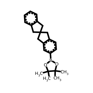 CC1(C)OB(c2ccc3c(c2)CC2(Cc4ccccc4C2)C3)OC1(C)C